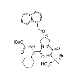 CC[C@@H](C)C(C)(NC(=O)[C@@H]1C[C@@H](OCc2cccc3ccccc23)CN1C(=O)[C@@H](NC(=O)OCC(C)C)C1CCCCC1)C(=O)O